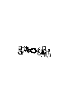 CN1CCC[C@H]1c1ncc(-c2ccc(B3OC(C)(C)C(C)(C)O3)cc2)[nH]1